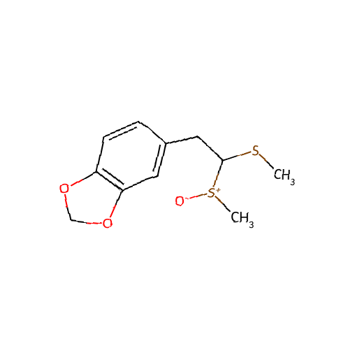 CSC(Cc1ccc2c(c1)OCO2)[S+](C)[O-]